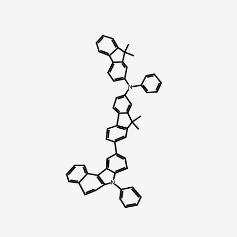 CC1(C)c2ccccc2-c2ccc(N(c3ccccc3)c3ccc4c(c3)C(C)(C)c3cc(-c5ccc6c(c5)c5c7ccccc7ccc5n6-c5ccccc5)ccc3-4)cc21